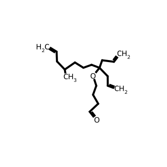 C=CCC(C)CCCC(CC=C)(CC=C)OCCCC=O